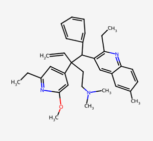 C=CC(CCN(C)C)(c1cc(CC)nc(OC)c1)C(c1ccccc1)c1cc2cc(C)ccc2nc1CC